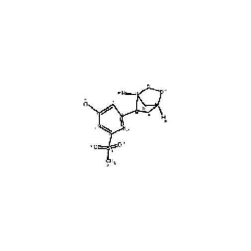 CS(=O)(=O)c1nc(Cl)cc(C2C[C@@H]3C[C@H]2CO3)n1